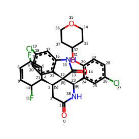 O=C1C[C@@H](C2C=C(F)C=CC2F)[C@]2(C(=O)Nc3cc(Cl)ccc32)[C@@H](c2cc(Cl)ccc2OC2CCOCC2)N1